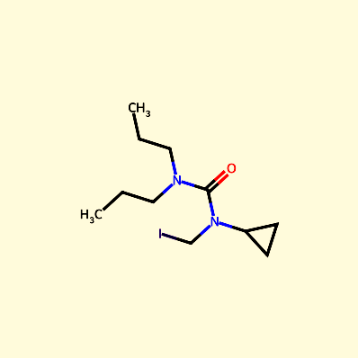 CCCN(CCC)C(=O)N(CI)C1CC1